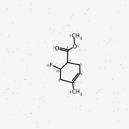 COC(=O)C1CC=C(C)CC1F